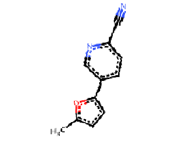 Cc1ccc(-c2ccc(C#N)nc2)o1